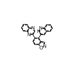 [c]1noc2ccc(-c3cnc4ccccc4n3)c(-c3cc4ccccc4nn3)c12